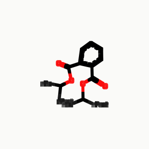 CCCCCC(CCCC)OC(=O)c1ccccc1C(=O)OC(CCCC)CCCCC